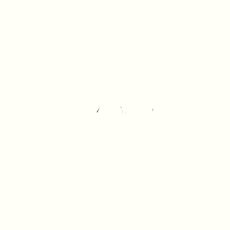 CC(C)S(=O)(=O)N[C@@H]1CCC[C@@H]1c1ccc(Cl)cc1